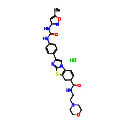 CC(C)(C)c1cc(NC(=O)Nc2ccc(-c3cn4c(n3)sc3cc(C(=O)NCCN5CCOCC5)ccc34)cc2)no1.Cl